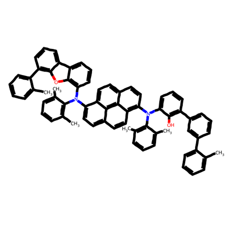 Cc1ccccc1-c1cccc(-c2cccc(N(c3c(C)cccc3C)c3ccc4ccc5c(N(c6c(C)cccc6C)c6cccc7c6oc6c(-c8ccccc8C)cccc67)ccc6ccc3c4c65)c2O)c1